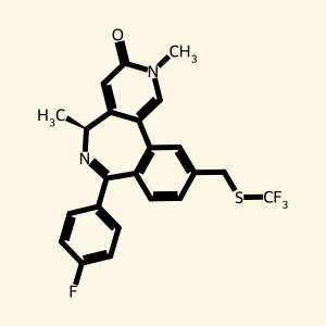 C[C@@H]1N=C(c2ccc(F)cc2)c2ccc(CSC(F)(F)F)cc2-c2cn(C)c(=O)cc21